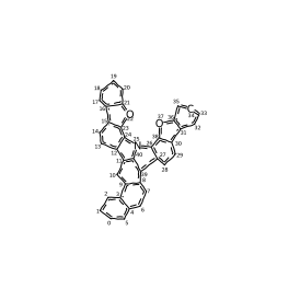 c1ccc2c(c1)ccc1c2cc2c3ccc4c5ccccc5oc4c3n3c4c(ccc5c6ccccc6oc54)c1c23